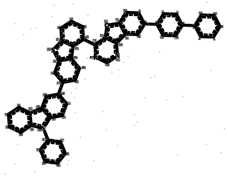 c1ccc(-c2ccc(-c3ccc4oc5c(-c6cccc7sc8cc(-c9ccc%10c(c9)c9ccccc9n%10-c9ccccc9)ccc8c67)ncnc5c4c3)cc2)cc1